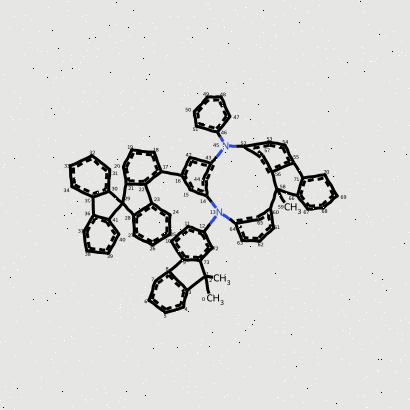 CC1(C)c2ccccc2-c2ccc(N3c4cc(-c5cccc6c5-c5ccccc5C65c6ccccc6-c6ccccc65)cc(c4)N(c4ccccc4)c4ccc5c(c4)C(C)(c4cccc3c4)c3ccccc3-5)cc21